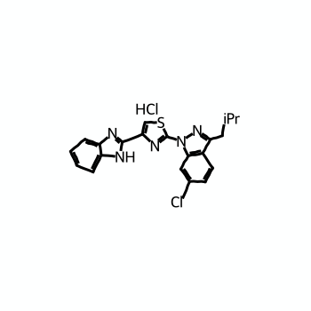 CC(C)Cc1nn(-c2nc(-c3nc4ccccc4[nH]3)cs2)c2cc(Cl)ccc12.Cl